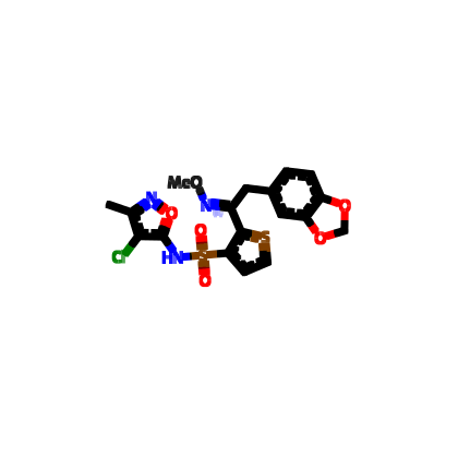 CO/N=C(\Cc1ccc2c(c1)OCO2)c1sccc1S(=O)(=O)Nc1onc(C)c1Cl